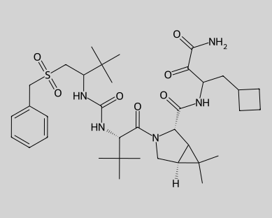 CC(C)(C)C(CS(=O)(=O)Cc1ccccc1)NC(=O)N[C@H](C(=O)N1C[C@H]2C([C@H]1C(=O)NC(CC1CCC1)C(=O)C(N)=O)C2(C)C)C(C)(C)C